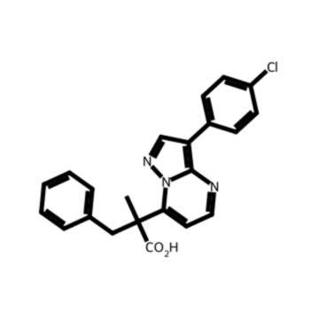 CC(Cc1ccccc1)(C(=O)O)c1ccnc2c(-c3ccc(Cl)cc3)cnn12